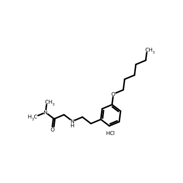 CCCCCCOc1cccc(CCNCC(=O)N(C)C)c1.Cl